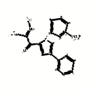 CCCCCCC(=NO)C(=O)c1cc(-c2ccccc2)cs1.O=C(O)c1ccccc1